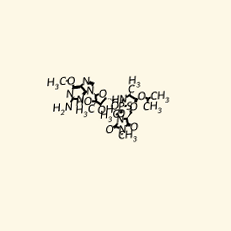 COc1nc(N)nc2c1ncn2[C@@H]1O[C@H](COP(=O)(N[C@H](C)C(=O)OC(C)C)SC[C@H]2C(=O)N(C)C(=O)N2C)[C@@H](O)[C@@]1(C)O